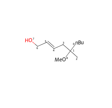 CCCCC(C)(C/C=C/CO)OC